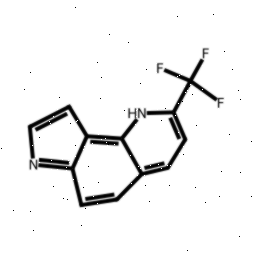 FC(F)(F)c1ccc2ccc3nccc3c2[nH]1